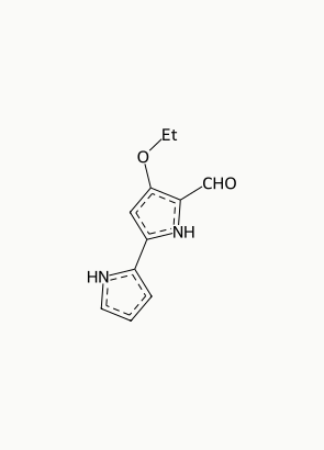 CCOc1cc(-c2ccc[nH]2)[nH]c1C=O